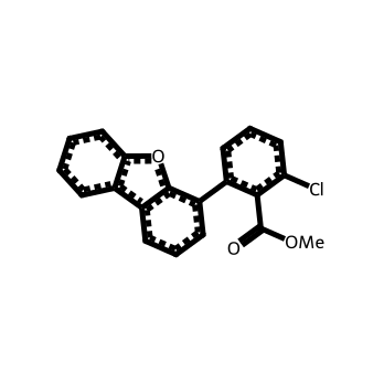 COC(=O)c1c(Cl)cccc1-c1cccc2c1oc1ccccc12